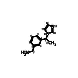 CC(c1cccc(CN)c1)n1ccnc1